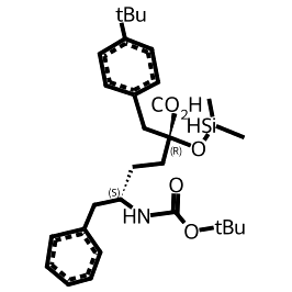 C[SiH](C)O[C@](CC[C@@H](Cc1ccccc1)NC(=O)OC(C)(C)C)(Cc1ccc(C(C)(C)C)cc1)C(=O)O